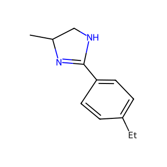 [CH2]Cc1ccc(C2=NC(C)CN2)cc1